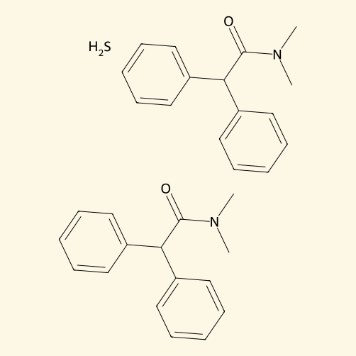 CN(C)C(=O)C(c1ccccc1)c1ccccc1.CN(C)C(=O)C(c1ccccc1)c1ccccc1.S